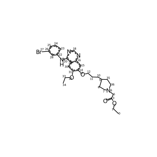 CCOC(=O)CN1CCC(CCCOc2cc3ncnc(Nc4cccc(Br)c4)c3cc2OCC)CC1